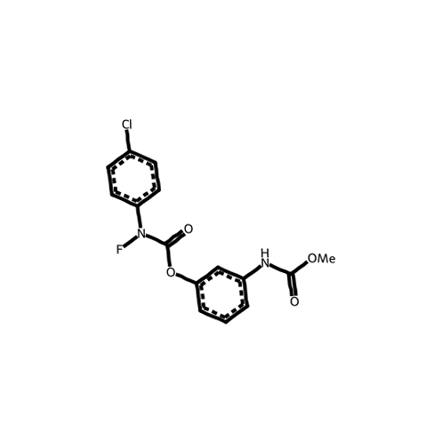 COC(=O)Nc1cccc(OC(=O)N(F)c2ccc(Cl)cc2)c1